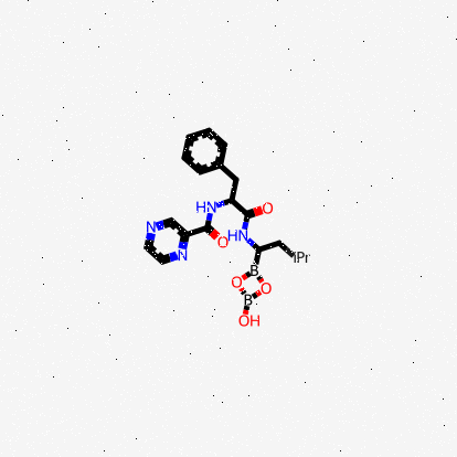 CC(C)CC(NC(=O)C(Cc1ccccc1)NC(=O)c1cnccn1)B1OB(O)O1